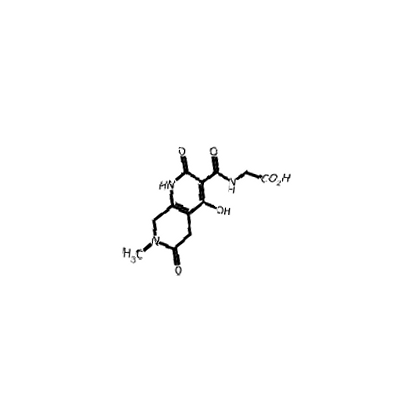 CN1Cc2[nH]c(=O)c(C(=O)NCC(=O)O)c(O)c2CC1=O